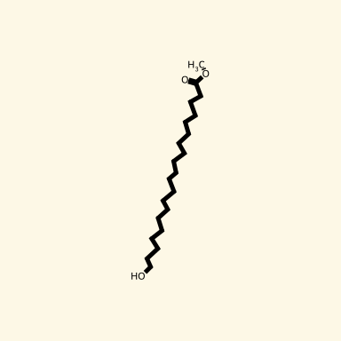 COC(=O)CCCCCCCCCCCCCCCCCCCO